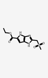 CCOC(=O)c1cc2[nH]c(CS(C)(=O)=O)nc2[nH]1